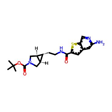 CC(C)(C)OC(=O)N1C[C@@H]2[C@@H](CCNC(=O)c3cc4cc(N)ncc4s3)[C@@H]2C1